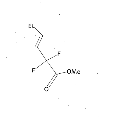 CCC=CC(F)(F)C(=O)OC